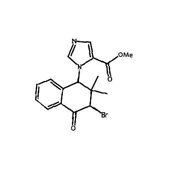 COC(=O)c1cncn1C1c2ccccc2C(=O)C(Br)C1(C)C